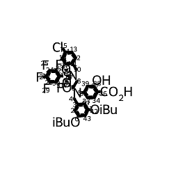 CC(C)COc1cc(CN(C(=O)CN(Cc2ccc(Cl)cc2)S(=O)(=O)c2c(F)c(F)c(F)c(F)c2F)c2ccc(C(=O)O)c(O)c2)cc(OCC(C)C)c1